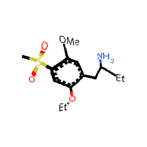 CCOc1cc(S(C)(=O)=O)c(OC)cc1CC(N)CC